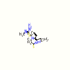 C=CC1=C(/C=C\C)N(CS/C(N)=N\C)[C@@H](C)CC(=S)N1